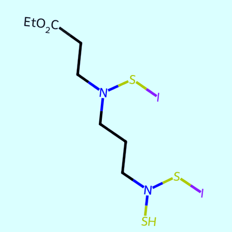 CCOC(=O)CCN(CCCN(S)SI)SI